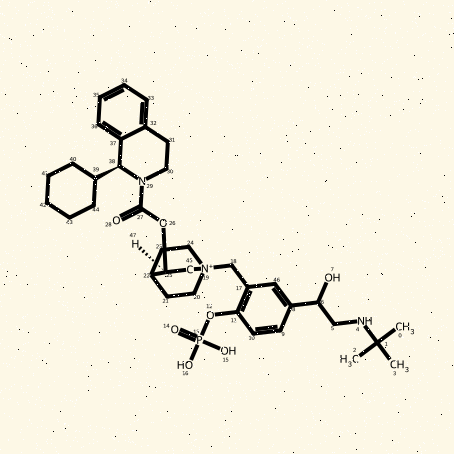 CC(C)(C)NCC(O)c1ccc(OP(=O)(O)O)c(C[N+]23CCC(CC2)[C@@H](OC(=O)N2CCc4ccccc4[C@@H]2C2CCCCC2)C3)c1